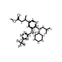 COC(=O)CC(C)c1cnc(N(CC(C)C)C2CCCCC2)c(Nc2nc(C(F)(F)F)ns2)c1